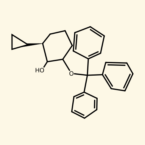 OC1C(OC(c2ccccc2)(c2ccccc2)c2ccccc2)CCC[C@@H]1C1CC1